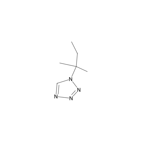 CCC(C)(C)n1cnnn1